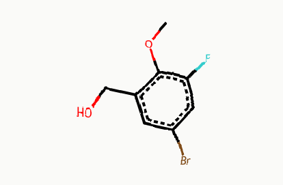 COc1c(F)cc(Br)cc1CO